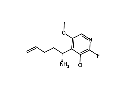 C=CCC[C@@H](N)c1c(OC)cnc(F)c1Cl